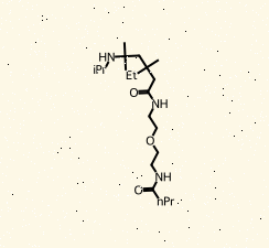 CCCC(=O)NCCOCCNC(=O)CC(C)(CC)CC(C)(C)NC(C)C